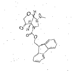 CO[C@@H]1CN(C(=O)OCC2c3ccccc3-c3ccccc32)[C@@H]2C(=O)CO[C@@H]21